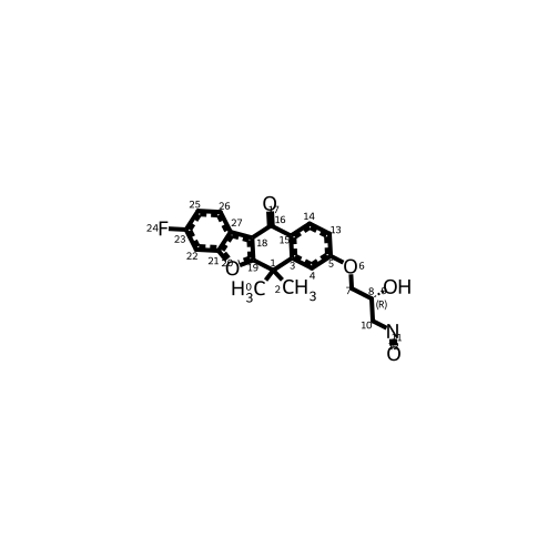 CC1(C)c2cc(OC[C@H](O)CN=O)ccc2C(=O)c2c1oc1cc(F)ccc21